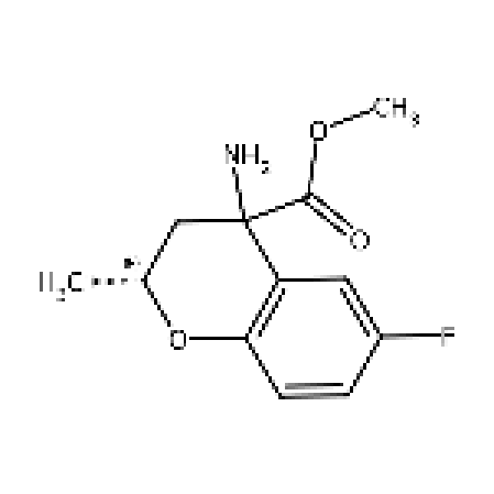 COC(=O)C1(N)C[C@@H](C)Oc2ccc(F)cc21